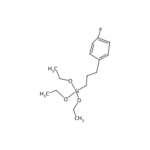 CCO[Si](CCCc1ccc(F)cc1)(OCC)OCC